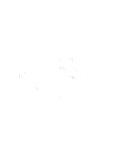 Cc1ccc(CN2C(=O)NC(=O)NC2Nc2ccc(Oc3ccc(C#N)cn3)c(Cl)c2)cc1